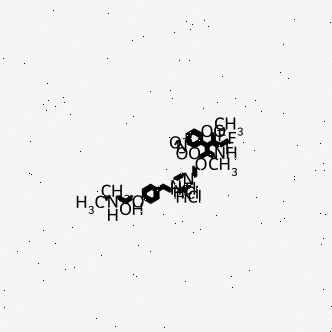 COC(=O)C1=C(C(F)(F)F)NC(C)=C(C(=O)OCCN2CCN(CCc3ccc(OCC(O)CNC(C)C)cc3)CC2)C1c1cccc([N+](=O)[O-])c1.Cl.Cl.Cl